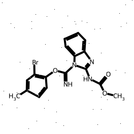 COC(=O)Nc1nc2ccccc2n1C(=N)Oc1ccc(C)cc1Br